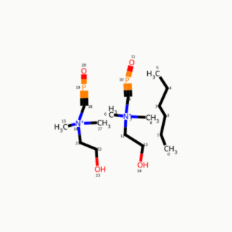 CCCCCC.C[N+](C)(C#P=O)CCO.C[N+](C)(C#P=O)CCO